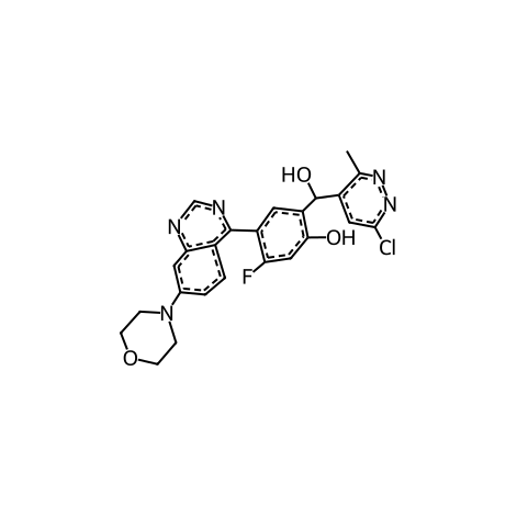 Cc1nnc(Cl)cc1C(O)c1cc(-c2ncnc3cc(N4CCOCC4)ccc23)c(F)cc1O